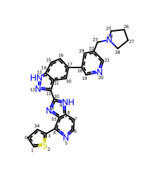 c1csc(-c2nccc3[nH]c(-c4n[nH]c5ccc(-c6cncc(CN7CCCC7)c6)cc45)nc23)c1